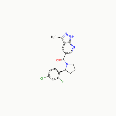 Cc1n[nH]c2ncc(C(=O)N3CCC[C@H]3c3ccc(Cl)cc3F)cc12